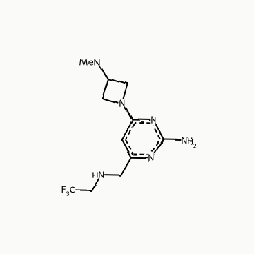 CNC1CN(c2cc(CNCC(F)(F)F)nc(N)n2)C1